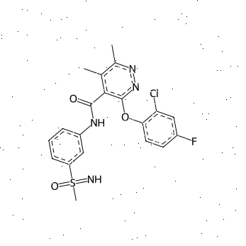 Cc1nnc(Oc2ccc(F)cc2Cl)c(C(=O)Nc2cccc(S(C)(=N)=O)c2)c1C